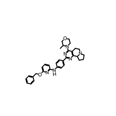 CC1COCCN1c1nc(-c2ccc(Nc3cccc(OCc4ccccc4)n3)cc2)nc2c1CCN1CCCC21